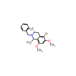 COc1cc(OC)c2c(c1Br)C[C@@H](C)N(Cc1ccccc1)[C@@H]2C